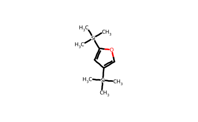 C[Si](C)(C)c1coc([Si](C)(C)C)c1